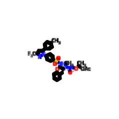 CC(=O)OC(C)ON=[N+]([O-])N(C)[C@@H](Cc1ccccc1)C(=O)NS(=O)(=O)c1ccc(-n2nc(C(F)(F)F)cc2-c2ccc(C)cc2)cc1